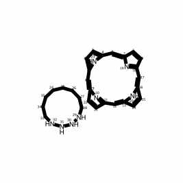 C1=Cc2cc3ccc(cc4nc(cc5ccc(cc1n2)[nH]5)C=C4)[nH]3.C1CCCCNNNNCCC1